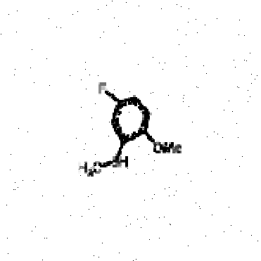 CBc1cc(F)ccc1OC